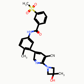 Cc1ccc(NC(=O)c2cccc(S(C)(=O)=O)c2)cc1-c1cnc(N2CC(C)(O)C2)c(C#N)c1